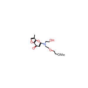 COCCOCCN(CCO)c1cc(=O)c2occ(C)c2o1